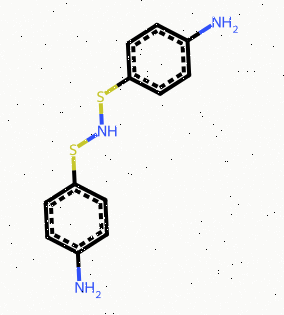 Nc1ccc(SNSc2ccc(N)cc2)cc1